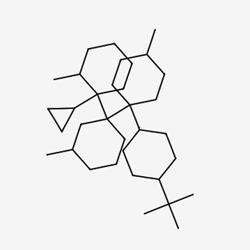 CC1CCC([C]2CCC(C(C)(C)C)CC2)(C2(C3(C4CC4)CCCCC3C)CCCC(C)C2)CC1